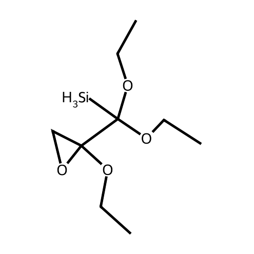 CCOC([SiH3])(OCC)C1(OCC)CO1